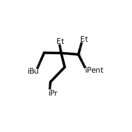 CCCC(C)[C](CC)C(CC)(CCC(C)C)CC(C)CC